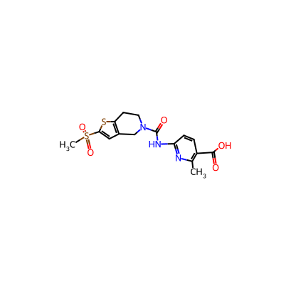 Cc1nc(NC(=O)N2CCc3sc(S(C)(=O)=O)cc3C2)ccc1C(=O)O